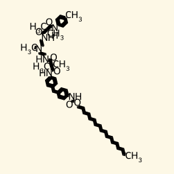 CCCCCCCCCCCCCCCCCCOC(=O)Nc1ccc(Cc2ccc(NC(=O)C(C)(C)C(=O)NCCN(C)CCNC(=O)C(C)(C)C(=O)Nc3ccc(C)cc3)cc2)cc1